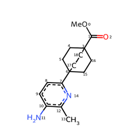 COC(=O)C12CCC(c3ccc(N)c(C)n3)(CC1)CC2